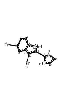 Fc1ccc2[nH]c(-c3ncco3)c(Br)c2c1